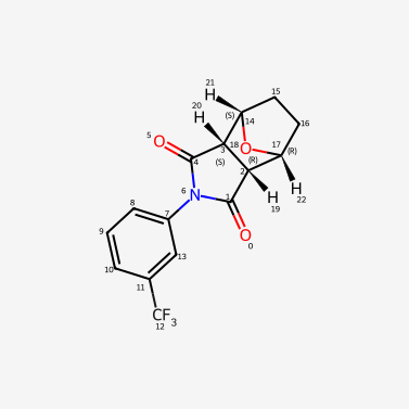 O=C1[C@@H]2[C@H](C(=O)N1c1cccc(C(F)(F)F)c1)[C@@H]1CC[C@H]2O1